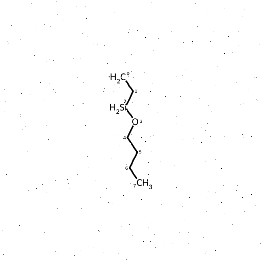 [CH2]C[SiH2]OCCCC